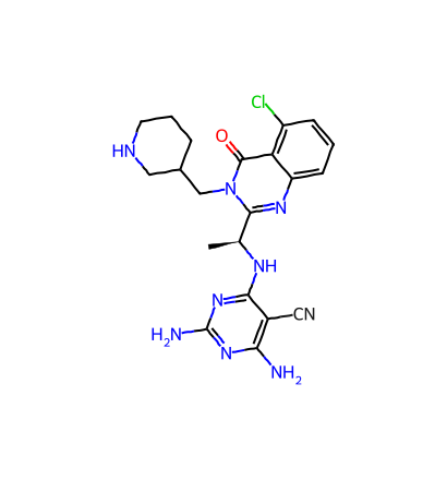 C[C@H](Nc1nc(N)nc(N)c1C#N)c1nc2cccc(Cl)c2c(=O)n1CC1CCCNC1